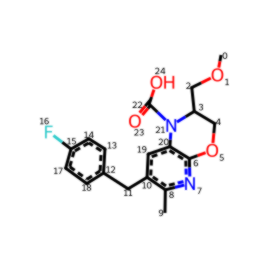 COCC1COc2nc(C)c(Cc3ccc(F)cc3)cc2N1C(=O)O